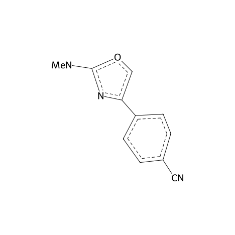 CNc1nc(-c2ccc(C#N)cc2)co1